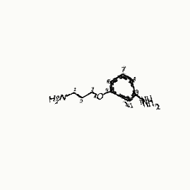 NCCCOc1cccc(N)c1